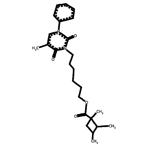 Cc1cn(-c2ccccc2)c(=O)n(CCCCCCOC(=O)C2(C)CC(C)C2C)c1=O